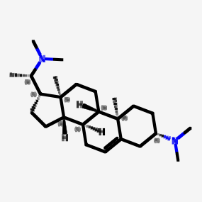 C[C@@H]([C@H]1CC[C@H]2[C@@H]3CC=C4C[C@@H](N(C)C)CC[C@]4(C)[C@H]3CC[C@]12C)N(C)C